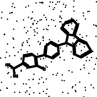 OB(O)c1ccc(-c2ccc(-n3c4ccccc4c4ccccc43)cc2)c(Cl)c1